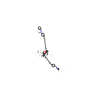 COC(=O)/C=C/c1ccc(OCCCCCCOC(=O)C(C)(CC(C)(CC(C)C)C(=O)OCCCCCCCCOc2ccc(/C(C#N)=C/c3ccccc3)cc2)C(C)C)cc1